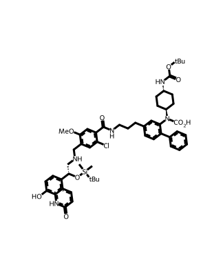 COc1cc(C(=O)NCCCc2ccc(-c3ccccc3)c(N(C(=O)O)[C@H]3CC[C@H](NC(=O)OC(C)(C)C)CC3)c2)c(Cl)cc1CNC[C@H](O[Si](C)(C)C(C)(C)C)c1ccc(O)c2[nH]c(=O)ccc12